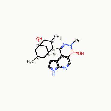 CC(C)N1N=C([C@@H]2[C@H]3C[C@@H](C)C[C@](O)(C3)C[C@H]2C)c2c(cnc3[nH]ccc23)B1O